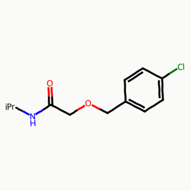 CC(C)NC(=O)COCc1ccc(Cl)cc1